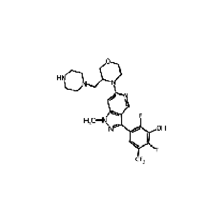 Cn1nc(-c2cc(C(F)(F)F)c(F)c(O)c2F)c2cnc(N3CCOCC3CN3CCNCC3)cc21